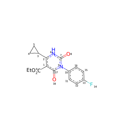 CCOC(=O)c1c(C2CC2)[nH]c(=O)n(-c2ccc(F)cc2)c1=O